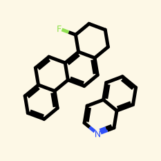 FC1CCCc2ccc3c(ccc4ccccc43)c21.c1ccc2cnccc2c1